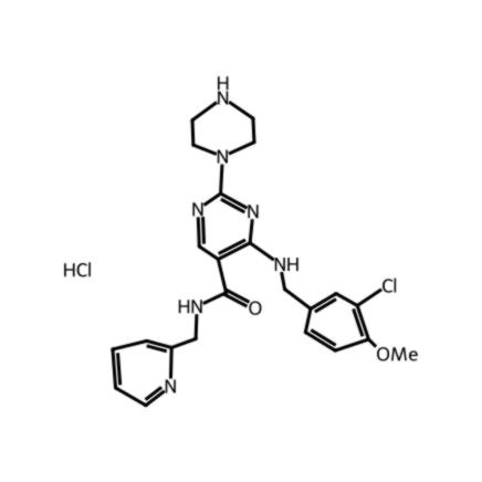 COc1ccc(CNc2nc(N3CCNCC3)ncc2C(=O)NCc2ccccn2)cc1Cl.Cl